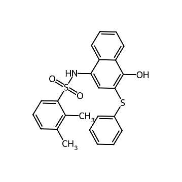 Cc1cccc(S(=O)(=O)Nc2cc(Sc3ccccc3)c(O)c3ccccc23)c1C